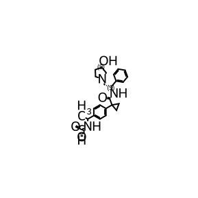 CC(N[SH](=O)=O)c1ccc(C2(C(=O)N[C@H](CN3CC[C@H](O)C3)c3ccccc3)CC2)cc1